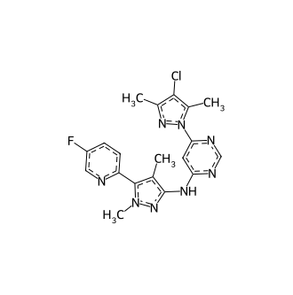 Cc1nn(-c2cc(Nc3nn(C)c(-c4ccc(F)cn4)c3C)ncn2)c(C)c1Cl